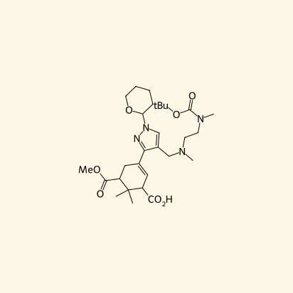 COC(=O)C1CC(c2nn(C3CCCCO3)cc2CN(C)CCN(C)C(=O)OC(C)(C)C)=CC(C(=O)O)C1(C)C